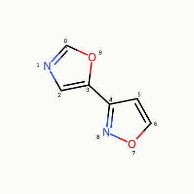 [c]1ncc(-c2ccon2)o1